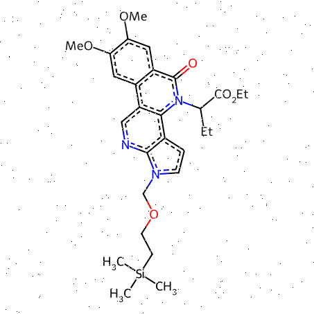 CCOC(=O)C(CC)n1c(=O)c2cc(OC)c(OC)cc2c2cnc3c(ccn3COCC[Si](C)(C)C)c21